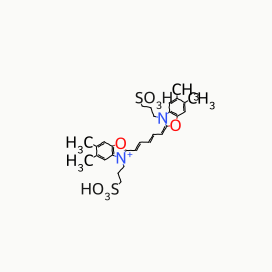 Cc1cc2c(cc1C)N(CCCS(=O)(=O)O)C(=CC=CC=Cc1oc3cc(C)c(C)cc3[n+]1CCCS(=O)(=O)O)O2